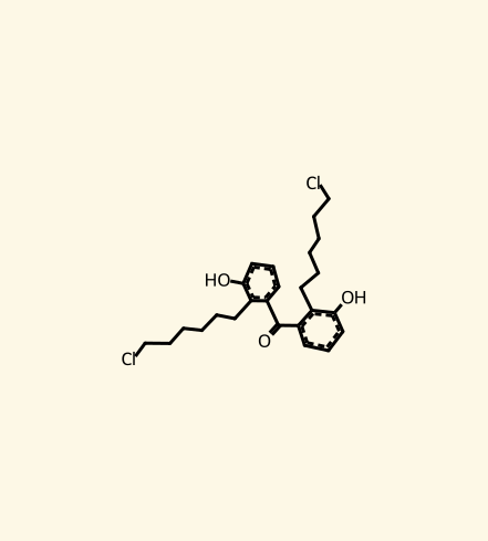 O=C(c1cccc(O)c1CCCCCCCl)c1cccc(O)c1CCCCCCCl